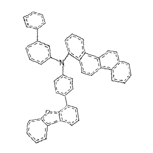 c1ccc(-c2cccc(N(c3ccc(-c4cccc5c4oc4ccccc45)cc3)c3cccc4c3ccc3c5ccccc5ccc43)c2)cc1